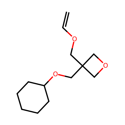 C=COCC1(COC2CCCCC2)COC1